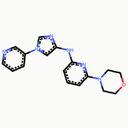 c1cncc(-n2cnc(Nc3cccc(N4CCOCC4)n3)c2)c1